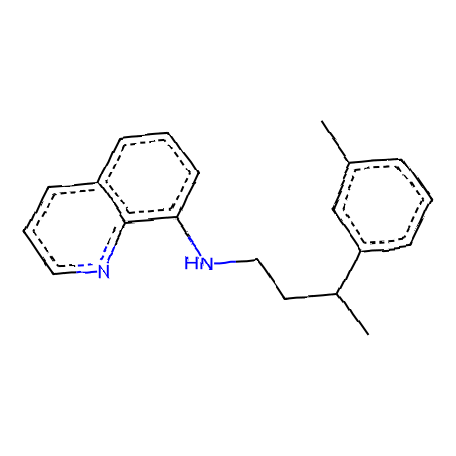 Cc1cccc(C(C)CCNc2cccc3cccnc23)c1